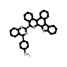 Cc1ccc(-c2nc(-c3nc4c5sc6ccccc6c5c5ccccc5c4c4ccccc34)nc3ccccc23)cc1